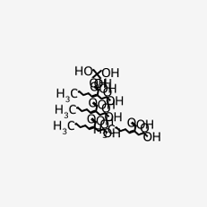 CCCCC=C(CC(=O)O)C(=O)O.CCCCC=C(CC(=O)O)C(=O)O.CCCCC=C(CC(=O)O)C(=O)O.CCCCC=C(CC(=O)O)C(=O)O.OCC(CO)(CO)CO